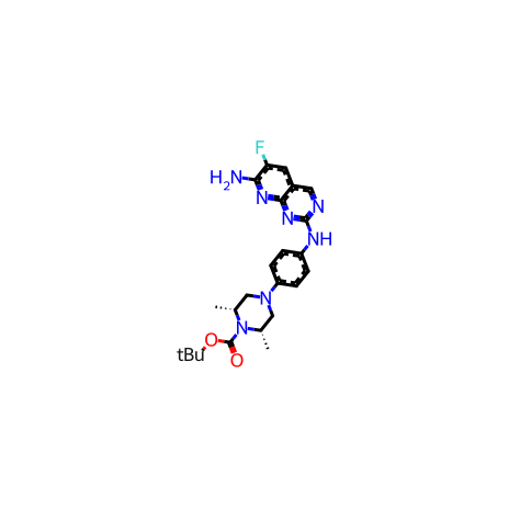 C[C@@H]1CN(c2ccc(Nc3ncc4cc(F)c(N)nc4n3)cc2)C[C@H](C)N1C(=O)OC(C)(C)C